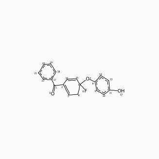 O=C(C1=CCC(F)(Oc2ccc(O)cc2)C=C1)c1ccccc1